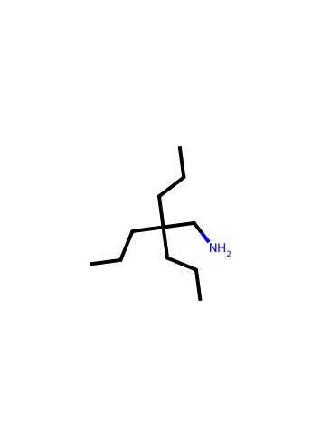 CCCC(CN)(CCC)CCC